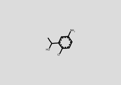 [CH2]C(O)c1cc(N)ccc1Cl